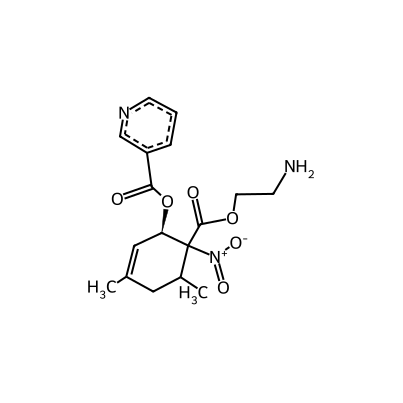 CC1=C[C@@H](OC(=O)c2cccnc2)C(C(=O)OCCN)([N+](=O)[O-])C(C)C1